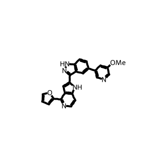 COc1cncc(-c2ccc3[nH]nc(-c4cc5c(-c6ccco6)nccc5[nH]4)c3c2)c1